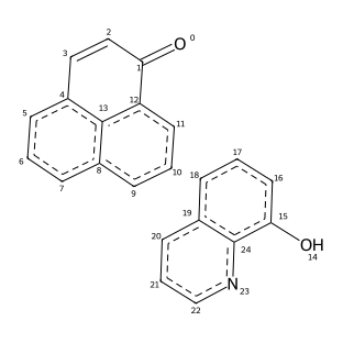 O=C1C=Cc2cccc3cccc1c23.Oc1cccc2cccnc12